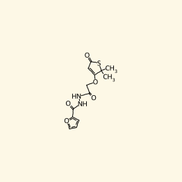 CC1(C)SC(=O)C=C1OCC(=O)NNC(=O)c1ccco1